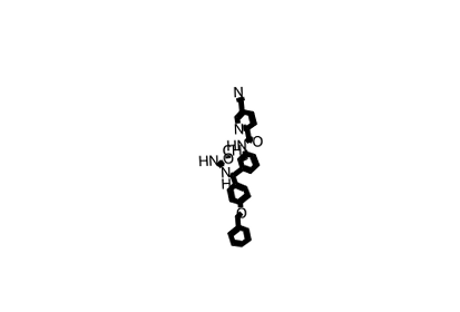 COC(=N)NC(c1ccc(OCc2ccccc2)cc1)c1cccc(NC(=O)c2ccc(C#N)cn2)c1